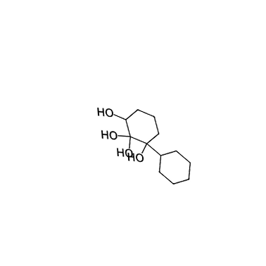 OC1CCCC(O)(C2CCCCC2)C1(O)O